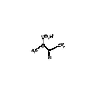 CCC(C)[C@H](C)C(=O)O